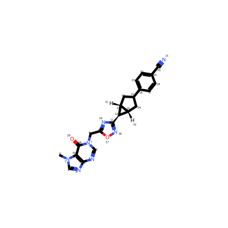 Cn1cnc2ncn(Cc3nc([C@H]4[C@@H]5CC(c6ccc(C#N)cc6)C[C@@H]54)no3)c(=O)c21